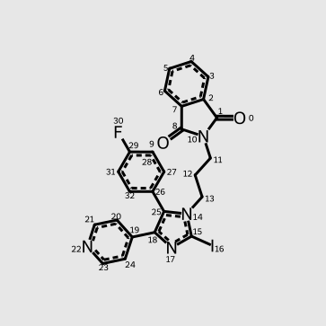 O=C1c2ccccc2C(=O)N1CCCn1c(I)nc(-c2ccncc2)c1-c1ccc(F)cc1